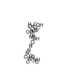 C=CCn1c(=O)c2cnc(Nc3ccc(N4CC(N5CCN(c6cccc7c6C(=O)N(C6CCC(=O)NC6=O)C7=O)CC5)C4)cc3)nc2n1-c1ccc2c(n1)[C@@](O)(CC)CC2